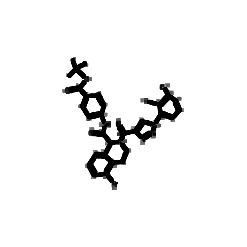 CC(C)(C)OC(=O)c1ccc(NC(=O)C2c3cccc(Br)c3CCN2C(=O)c2cn(-c3cccc(Cl)c3F)nn2)cc1